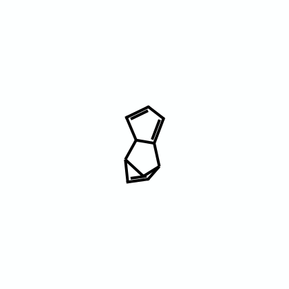 C1=CC2C(=C1)C1C=CC2C1